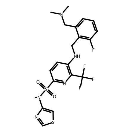 CN(C)Cc1cccc(F)c1CNc1ccc(S(=O)(=O)Nc2cscn2)nc1C(F)(F)F